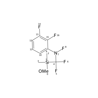 CO[Si](C)(C)C(F)(F)N(F)c1cccc(F)c1F